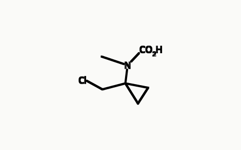 CN(C(=O)O)C1(CCl)CC1